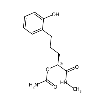 CNC(=O)[C@H](CCCc1ccccc1O)OC(N)=O